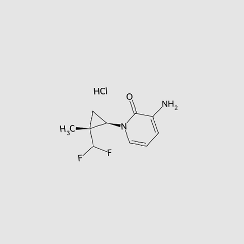 C[C@@]1(C(F)F)C[C@H]1n1cccc(N)c1=O.Cl